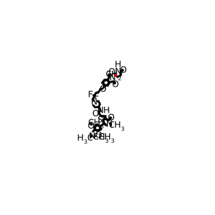 C=C1c2ccc(OCCCC(F)(F)CN3CCC(NC(=O)c4cc5c(=O)n(C)cc(-c6cc(OC)c(CN(C)C)c(OC)c6)c5s4)CC3)cc2C(=O)N1C1CCC(=O)NC1=O